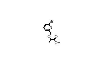 CC(OCc1cccc(Br)n1)C(=O)O